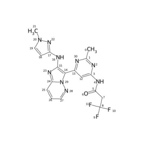 Cc1nc(NC(=O)CC(F)(F)F)cc(-c2c(Nc3ccn(C)n3)nc3cccnn23)n1